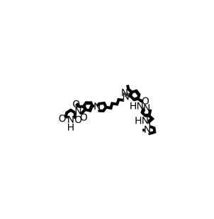 Cc1nn(CCCCCC2CCN(c3ccc4c(c3)C(=O)N(C3CCC(=O)NC3=O)C4=O)CC2)c2cc(C(=O)Nc3cc4[nH]c([C@H]5CCCN5C)cc4cn3)ccc12